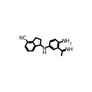 CC(=N)c1cc(NC2CCc3c(C#N)cccc32)ccc1N